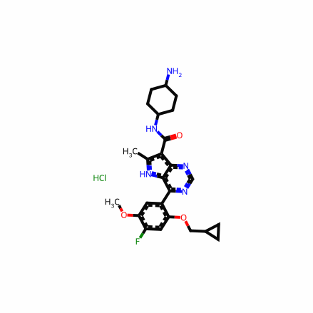 COc1cc(-c2ncnc3c(C(=O)NC4CCC(N)CC4)c(C)[nH]c23)c(OCC2CC2)cc1F.Cl